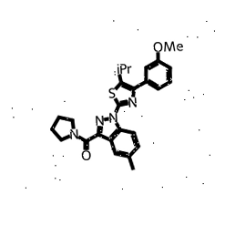 COc1cccc(-c2nc(-n3nc(C(=O)N4CCCC4)c4cc(C)ccc43)sc2C(C)C)c1